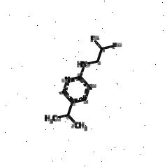 CC(C)c1cnc(NCC(F)F)nc1